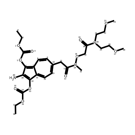 CCOC(=O)Oc1c2ccc(CC(=O)N(C)OCC(=O)N(CCOC)CCOC)ccc-2c(OC(=O)OCC)c1N